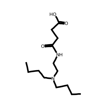 CCCCN(CCCC)CCNC(=O)CCC(=O)O